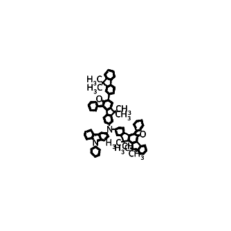 CC1(C)c2ccccc2-c2ccc(-c3cc4c(c5c3oc3ccccc35)-c3ccc(N(c5ccc6c(c5)C(C)(C)c5c7c(c8oc9ccccc9c8c5-6)-c5ccccc5C7(C)C)c5ccc6c(c5)c5ccccc5n6-c5ccccc5)cc3C4(C)C)cc21